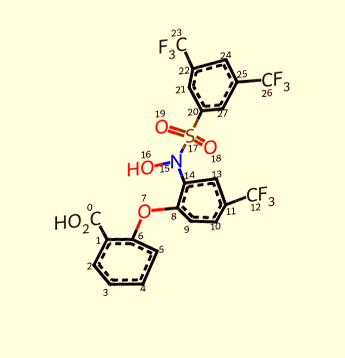 O=C(O)c1ccccc1Oc1ccc(C(F)(F)F)cc1N(O)S(=O)(=O)c1cc(C(F)(F)F)cc(C(F)(F)F)c1